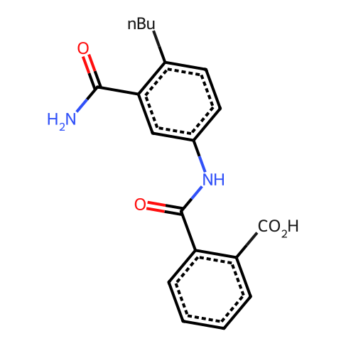 CCCCc1ccc(NC(=O)c2ccccc2C(=O)O)cc1C(N)=O